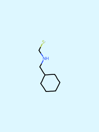 [S]CNCC1CCCCC1